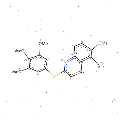 COc1cc(Sc2ccc3c([N+](=O)[O-])c(OC)ccc3n2)cc(OC)c1OC